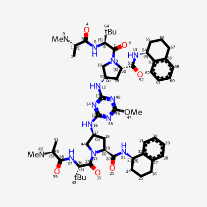 CN[C@@H](C)C(=O)N[C@H](C(=O)N1C[C@@H](Nc2nc(N[C@H]3C[C@@H](C(=O)N[C@@H]4CCCc5ccccc54)N(C(=O)[C@@H](NC(=O)[C@H](C)NC)C(C)(C)C)C3)nc(OC)n2)C[C@H]1C(=O)N[C@@H]1CCCc2ccccc21)C(C)(C)C